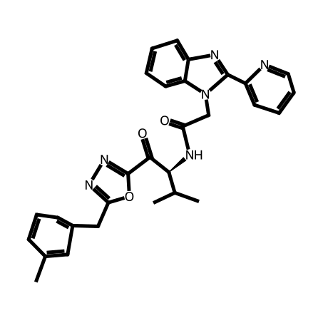 Cc1cccc(Cc2nnc(C(=O)[C@@H](NC(=O)Cn3c(-c4ccccn4)nc4ccccc43)C(C)C)o2)c1